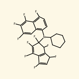 FC1=[C]C(F)C2=C1C(F)=C(F)C(F)(N(c1ccc(F)c3c(F)c(F)c(F)cc13)C1CCCCC1)C2F